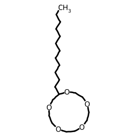 CCCCCCCCCCCCC1COCCOCCOCCOCCO1